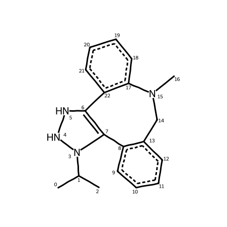 CC(C)N1NNC2=C1c1ccccc1CN(C)c1ccccc12